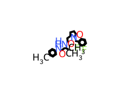 Cc1ccc(NC(=O)C(NC(=O)CC2CCC(=O)N2Cc2cccc(F)c2F)C(C)C)cc1